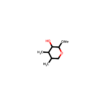 COC1OCC(C)C(C)C1O